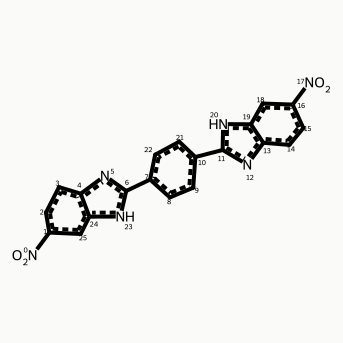 O=[N+]([O-])c1ccc2nc(-c3ccc(-c4nc5ccc([N+](=O)[O-])cc5[nH]4)cc3)[nH]c2c1